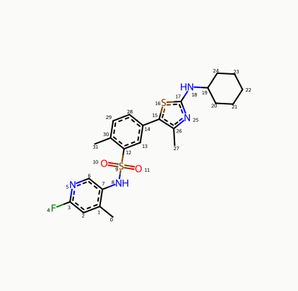 Cc1cc(F)ncc1NS(=O)(=O)c1cc(-c2sc(NC3CCCCC3)nc2C)ccc1C